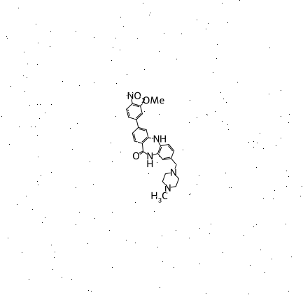 COc1cc(-c2ccc3c(c2)Nc2ccc(CN4CCN(C)CC4)cc2NC3=O)ccc1[N+](=O)[O-]